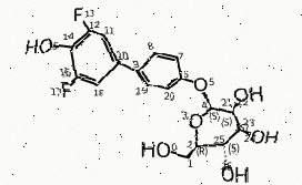 OC[C@H]1O[C@@H](Oc2ccc(-c3cc(F)c(O)c(F)c3)cc2)[C@@H](O)[C@@H](O)[C@@H]1O